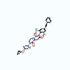 C[C@@]12CC(=O)N(c3c(F)cc(C#Cc4ccccc4)cc3F)C(=O)N1CCN(c1cnc(OC3CC3)cn1)C2=O